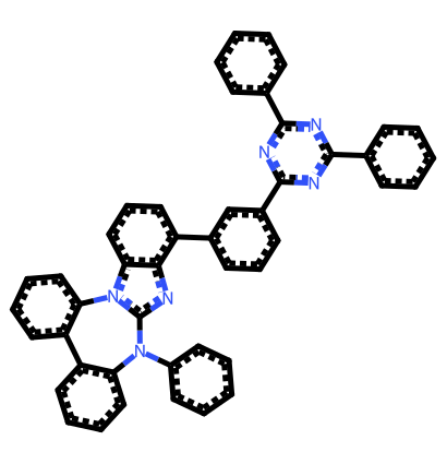 c1ccc(-c2nc(-c3ccccc3)nc(-c3cccc(-c4cccc5c4nc4n5-c5ccccc5-c5ccccc5N4c4ccccc4)c3)n2)cc1